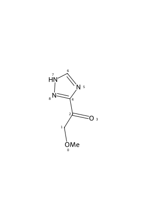 COCC(=O)c1nc[nH]n1